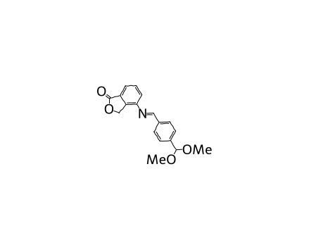 COC(OC)c1ccc(C=Nc2cccc3c2COC3=O)cc1